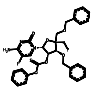 Nc1nc(=O)n([C@@H]2O[C@](CF)(COCc3ccccc3)[C@@H](OCc3ccccc3)[C@H]2OC(=S)Oc2ccccc2)cc1F